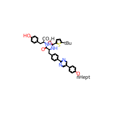 CCCCCCCOc1ccc(-c2cnc(-c3ccc(CC(NC(=O)c4ccc(C(C)(C)C)s4)C(=O)N[C@@H](Cc4ccc(O)cc4)C(=O)O)cc3)nc2)cc1